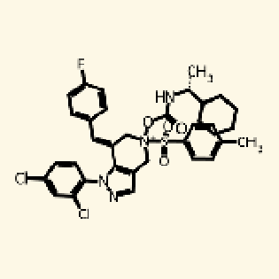 Cc1ccc(S(=O)(=O)[N+]2(OC(=O)N[C@H](C)C3CCCCC3)C/C(=C\c3ccc(F)cc3)c3c(cnn3-c3ccc(Cl)cc3Cl)C2)cc1